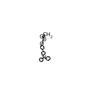 C=CC(=O)OCCOc1ccc(-c2ccc(N(c3ccccc3)c3ccccc3)cc2)cc1